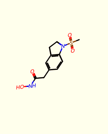 CS(=O)(=O)N1CCc2cc(CC(=O)NO)ccc21